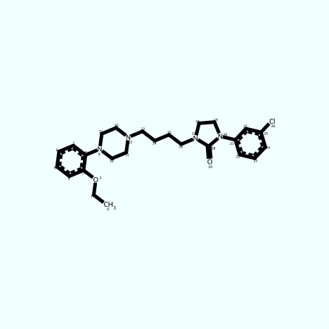 CCOc1ccccc1N1CCN(CCCCN2CCN(c3cccc(Cl)c3)C2=O)CC1